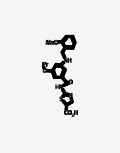 COc1ccccc1CNc1cc(OC(C)C)cc(C(=O)NC2=NCC(C(=O)O)S2)c1